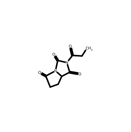 CCC(=O)N1C(=O)C2CCC(=O)N2C1=O